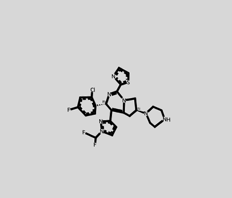 Fc1ccc([C@@H]2N=C(c3nccs3)N3C[C@@H](N4CCNCC4)CC3=C2c2ccn(C(F)F)n2)c(Cl)c1